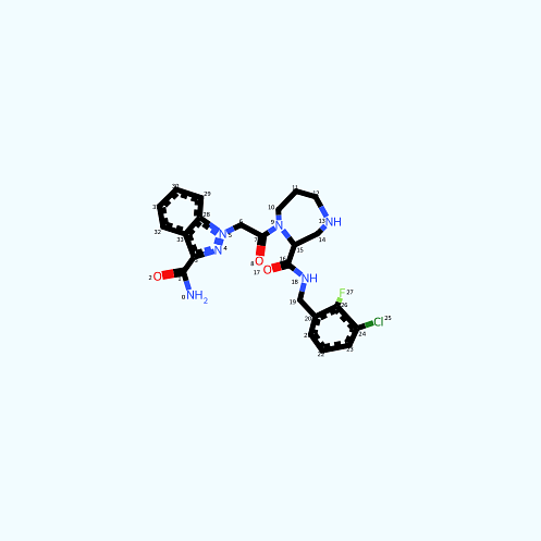 NC(=O)c1nn(CC(=O)N2CCCNCC2C(=O)NCc2cccc(Cl)c2F)c2ccccc12